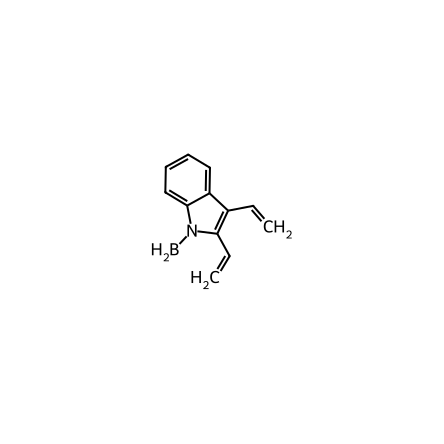 Bn1c(C=C)c(C=C)c2ccccc21